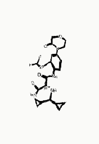 NC(=O)[C@@H](NC(C1CC1)C1CC1)C(=O)Nc1ccc(N2CCOCC2=O)cc1OC(F)F